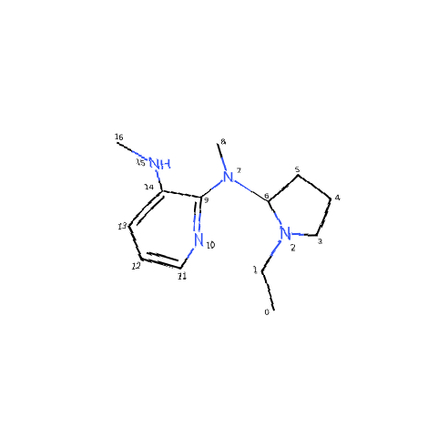 CCN1CCCC1N(C)c1ncccc1NC